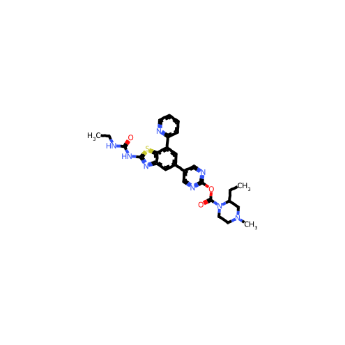 CCNC(=O)Nc1nc2cc(-c3cnc(OC(=O)N4CCN(C)CC4CC)nc3)cc(-c3ccccn3)c2s1